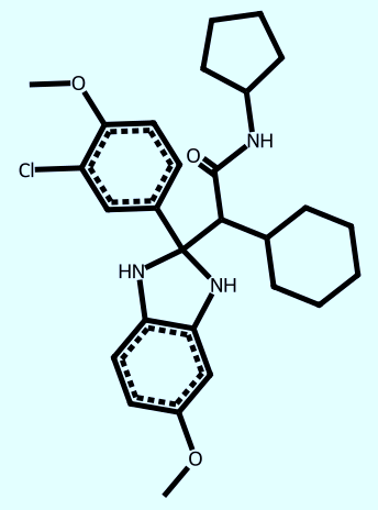 COc1ccc2c(c1)NC(c1ccc(OC)c(Cl)c1)(C(C(=O)NC1CCCC1)C1CCCCC1)N2